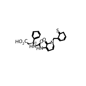 O=C(O)C[C@H](NC(=O)Nc1cccn(CC2=CC=CCC2=S)c1=O)c1ccccc1